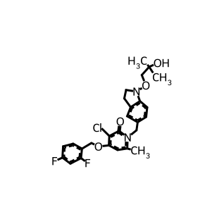 Cc1cc(OCc2ccc(F)cc2F)c(Cl)c(=O)n1Cc1ccc2c(c1)CCN2OCC(C)(C)O